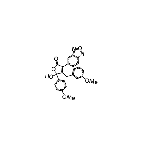 COc1ccc(C2(O)OC(=O)C(c3ccc4nonc4c3)=C2Cc2cccc(OC)c2)cc1